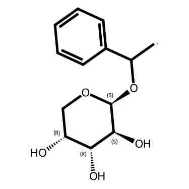 [CH2]C(O[C@@H]1OC[C@@H](O)[C@@H](O)[C@@H]1O)c1ccccc1